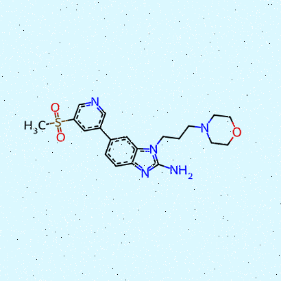 CS(=O)(=O)c1cncc(-c2ccc3nc(N)n(CCCN4CCOCC4)c3c2)c1